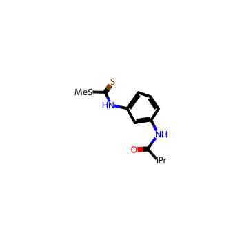 CSC(=S)Nc1cccc(NC(=O)C(C)C)c1